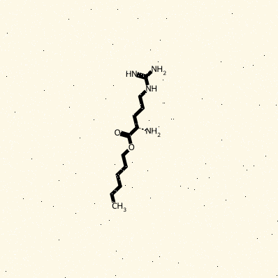 CCCCCCOC(=O)[C@@H](N)CCCNC(=N)N